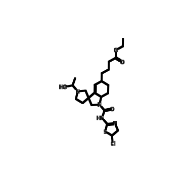 CCOC(=O)CCCC1C=C2C(CC1)N(C(=O)NC1=NCC(Cl)S1)CC21CCN(C(C)O)C1